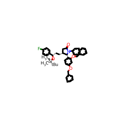 CC(C)(C)[Si](C)(C)O[C@@H](CC[C@@H]1CC(=O)N(c2ccccc2)[C@@H]1c1ccc(OCc2ccccc2)cc1OCc1ccccc1)c1ccc(F)cc1